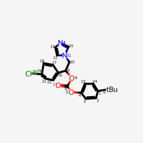 CC(C)(C)c1ccc(OC(=O)OC(Cn2ccnc2)c2ccc(Cl)cc2)cc1